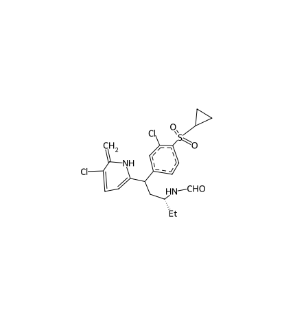 C=C1NC(C(C[C@@H](CC)NC=O)c2ccc(S(=O)(=O)C3CC3)c(Cl)c2)=CC=C1Cl